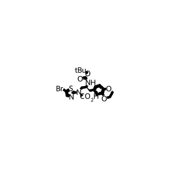 CC(C)(C)OC(=O)N[C@@H](Cc1ccc2c(c1)OCCO2)CN(C(=O)O)c1ncc(Br)s1